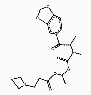 CC(OC(=O)CCN1CCC1)OC(=O)N(C)C(C)C(=O)c1ccc2c(c1)OCO2